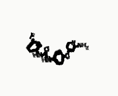 Nc1cc(Oc2ccc(NC(=O)Nc3ccc(F)cc3)cc2)ccn1